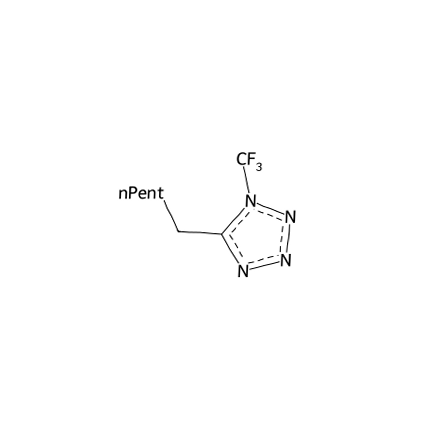 CCCCCCc1nnnn1C(F)(F)F